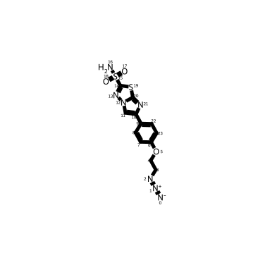 [N-]=[N+]=NCCOc1ccc(-c2cn3nc(S(N)(=O)=O)sc3n2)cc1